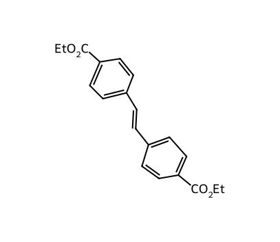 CCOC(=O)c1ccc(C=Cc2ccc(C(=O)OCC)cc2)cc1